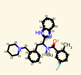 CCCCN(C(=O)c1cc(F)ccc1C)C(Cc1ccccc1CN1CCCCC1)c1nc2ccccc2[nH]1